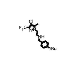 Cc1c(Cl)c(C(F)(F)F)nn1CCNCc1ccc(C(C)(C)C)cc1